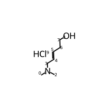 CN(C)CC=CCCO.Cl